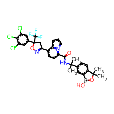 CC(C)(NC(=O)c1ccc(C2=NOC(c3cc(Cl)c(Cl)c(Cl)c3)(C(F)(F)F)C2)c2cccn12)c1ccc2c(c1)B(O)OC2(C)C